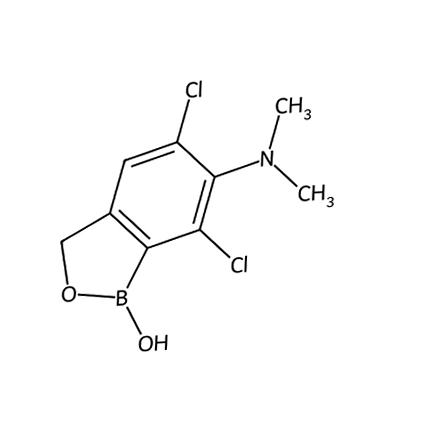 CN(C)c1c(Cl)cc2c(c1Cl)B(O)OC2